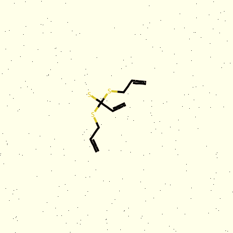 C=CCSC([S])(C=C)SCC=C